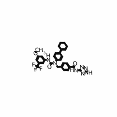 COc1cc(NC(=O)N(Cc2ccc(C(=O)Nc3nn[nH]n3)cc2)c2ccc(C3=CCCCC3)cc2)cc(C(F)(F)F)c1